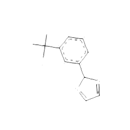 FC(F)(F)c1cccc(C2N=CC=N2)c1